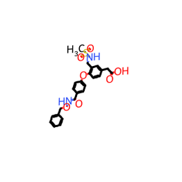 CS(=O)(=O)NCc1cc(CC(=O)O)ccc1Oc1ccc(C(=O)NOCc2ccccc2)cc1